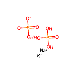 O=P(O)(O)O.O=P([O-])([O-])O.[K+].[Na+]